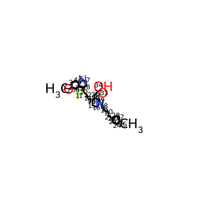 COc1ccc2nccc(C(F)CC[C@@H]3CCN(CCCCc4ccc(C)cc4)C[C@@H]3CC(=O)O)c2c1